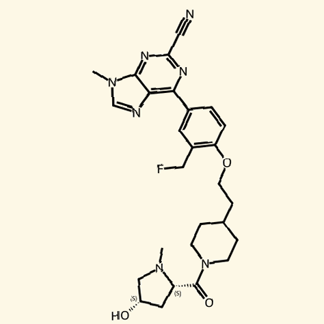 CN1C[C@@H](O)C[C@H]1C(=O)N1CCC(CCOc2ccc(-c3nc(C#N)nc4c3ncn4C)cc2CF)CC1